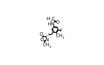 CC(=O)Nc1cc(F)c(C)c(CC[C@@H]2N=C(C)OC2=O)c1